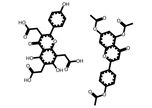 CC(=O)Oc1ccc(-c2cc(=O)c3c(OC(C)=O)cc(OC(C)=O)cc3o2)cc1.O=C(O)Cc1c(O)c(CC(=O)O)c2oc(-c3ccc(O)cc3)c(CC(=O)O)c(=O)c2c1O